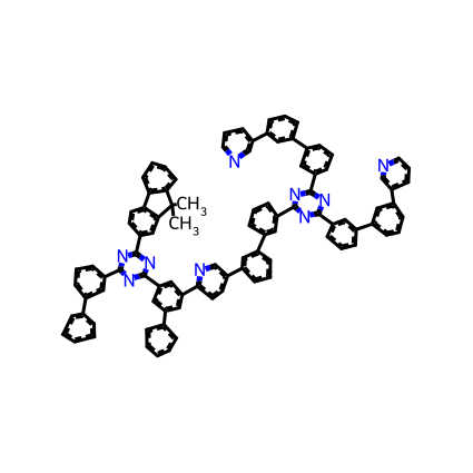 CC1(C)c2ccccc2-c2ccc(-c3nc(-c4cccc(-c5ccccc5)c4)nc(-c4cc(-c5ccccc5)cc(-c5ccc(-c6cccc(-c7cccc(-c8nc(-c9cccc(-c%10cccc(-c%11cccnc%11)c%10)c9)nc(-c9cccc(-c%10cccc(-c%11cccnc%11)c%10)c9)n8)c7)c6)cn5)c4)n3)cc21